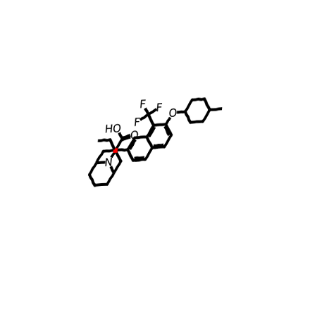 CCC(c1ccc2ccc(OC3CCC(C)CC3)c(C(F)(F)F)c2c1)N1C2CCCC1CC(C(=O)O)C2